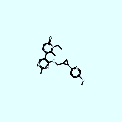 CCn1c(C)c(-c2cnc(C)nc2OCC2C[C@H]2c2ccc(OC)cn2)ccc1=O